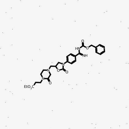 CCOC(=O)CCN1CCN(CC2CN(c3ccc(C(=N)NC(=O)OCc4ccccc4)cc3)C(=O)O2)CC1=O